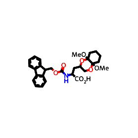 COC12CCCCC1(OC)OC(CC(NC(=O)OCC1c3ccccc3-c3ccccc31)C(=O)O)CO2